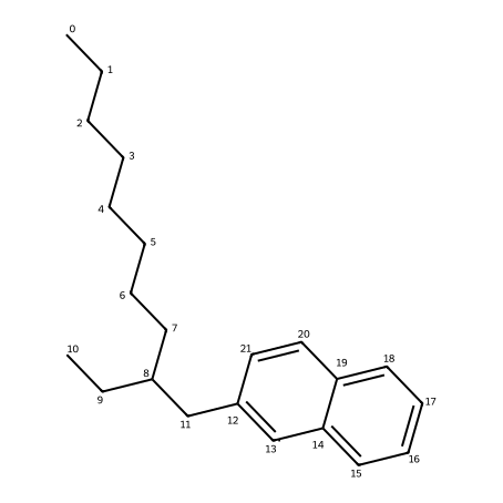 CCCCCCCCC(CC)Cc1[c]c2ccccc2cc1